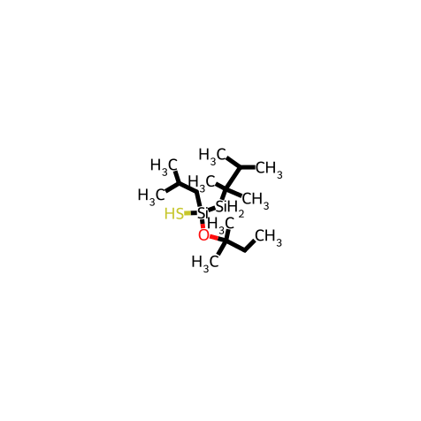 CCC(C)(C)O[Si](S)(CC(C)C)[SiH2]C(C)(C)C(C)C